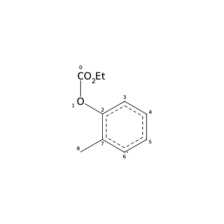 CCOC(=O)Oc1ccc[c]c1C